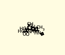 CC1Cc2c([nH]c(=O)c(C(=O)O)c2O)-c2cc3cc(CNC4CCC4)n(C)c3cc2O1